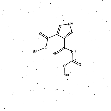 CC(C)(C)OC(=O)NC(=N)c1n[nH]cc1C(=O)OC(C)(C)C